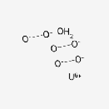 O.[O-][O-].[O-][O-].[O-][O-].[U+6]